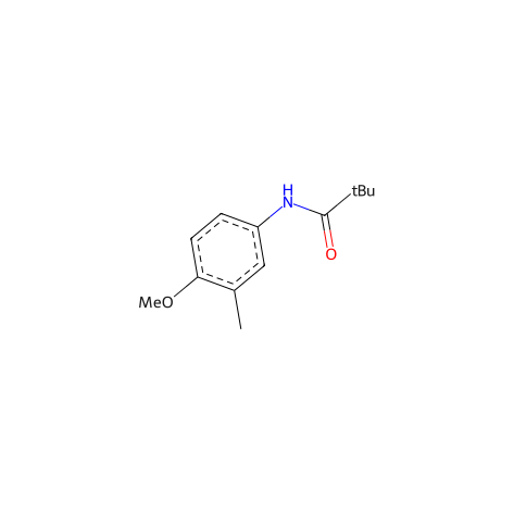 COc1ccc(NC(=O)C(C)(C)C)cc1C